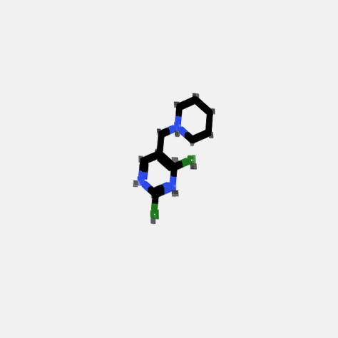 Clc1ncc(CN2CCCCC2)c(Cl)n1